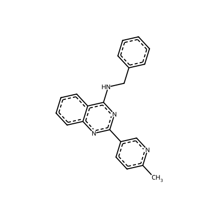 Cc1ccc(-c2nc(NCc3ccccc3)c3ccccc3n2)cn1